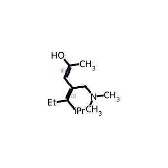 CC/C(=C(\C=C(/C)O)CN(C)C)C(C)C